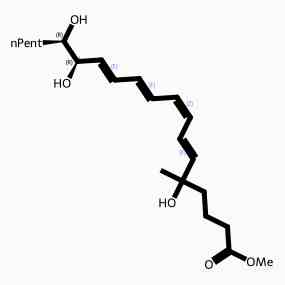 CCCCC[C@@H](O)[C@H](O)/C=C/C=C/C=C\C=C\C(C)(O)CCCC(=O)OC